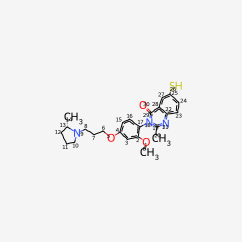 COc1cc(OCCCN2CCC[C@@H]2C)ccc1-n1c(C)nc2ccc(S)cc2c1=O